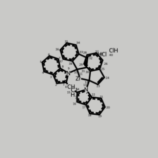 Cc1cc2ccccc2n1[C]1([Zr][C]2(n3c(C)cc4ccccc43)C=Cc3ccccc32)C=Cc2ccccc21.Cl.Cl